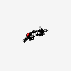 C=CC(=O)N1CCN(c2cc(=O)n(-c3c(C)cc(CNC(=O)COCCOCC(=O)NC(C(=O)N4C[C@H](O)C[C@H]4C(=O)NC(C)c4ccc(-c5scnc5C)cc4)C(C)(C)C)nc3C(C)C)c3cc(-c4c(O)cccc4F)c(F)cc23)C[C@H]1C